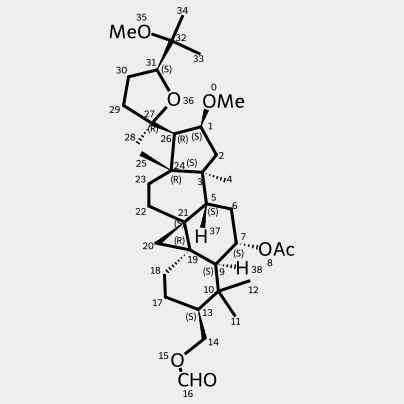 CO[C@H]1C[C@@]2(C)[C@@H]3C[C@H](OC(C)=O)[C@H]4C(C)(C)[C@@H](COC=O)CC[C@@]45C[C@@]35CC[C@]2(C)[C@H]1[C@@]1(C)CC[C@@H](C(C)(C)OC)O1